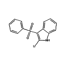 [Li][c]1[nH]c2ccccc2c1S(=O)(=O)c1ccccc1